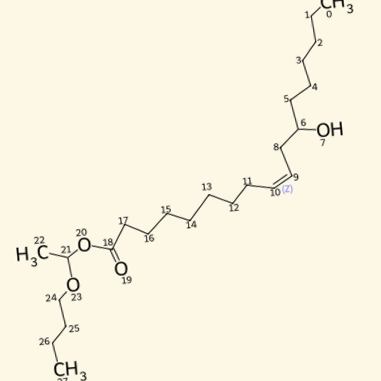 CCCCCCC(O)C/C=C\CCCCCCCC(=O)OC(C)OCCCC